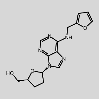 OC[C@@H]1CC[C@H](n2cnc3c(NCc4ccco4)ncnc32)O1